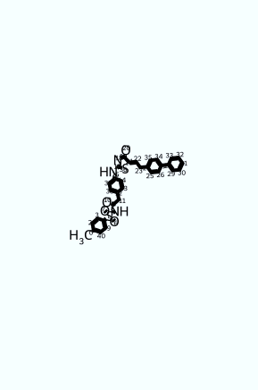 Cc1ccc(S(=O)(=O)NC(=O)Cc2ccc(NC3=NC(=O)C(=CCc4ccc(-c5ccccc5)cc4)S3)cc2)cc1